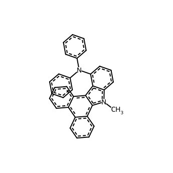 Cn1c2cccc(N(c3ccccc3)c3ccccc3)c2c2c3ccccc3c3ccccc3c21